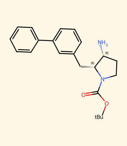 CC(C)(C)OC(=O)N1CC[C@@H](N)[C@H]1Cc1cccc(-c2ccccc2)c1